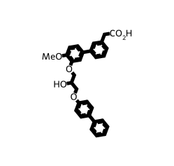 COc1ccc(-c2cccc(CC(=O)O)c2)cc1OCC(O)COc1ccc(-c2ccccc2)cc1